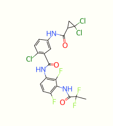 CC(F)(F)C(=O)Nc1c(F)ccc(NC(=O)c2cc(NC(=O)C3CC3(Cl)Cl)ccc2Cl)c1F